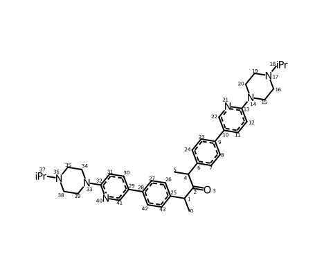 CC(C(=O)C(C)c1ccc(-c2ccc(N3CCN(C(C)C)CC3)nc2)cc1)c1ccc(-c2ccc(N3CCN(C(C)C)CC3)nc2)cc1